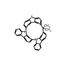 CC1(C)c2ccc3sc4ccc(cc4c3c2)-n2c3ccccc3c3ccc(cc32)-n2c3ccccc3c3ccc1cc32